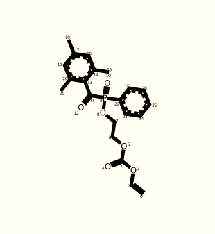 C=COC(=O)OCCOP(=O)(C(=O)c1c(C)cc(C)cc1C)c1ccccc1